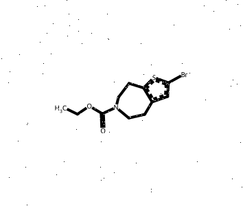 CCOC(=O)N1CCc2cc(Br)sc2CC1